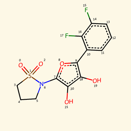 O=S1(=O)CCCN1c1oc(-c2cccc(F)c2F)c(O)c1O